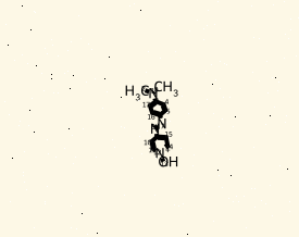 CN(C)c1ccc(N=Nc2cc[n+](O)cc2)cc1